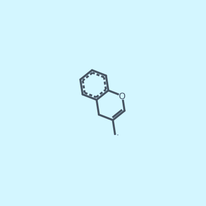 [CH2]C1=COc2ccccc2C1